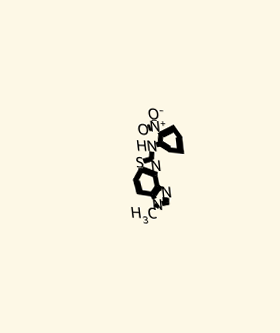 Cn1cnc2c3nc(Nc4ccccc4[N+](=O)[O-])sc3ccc21